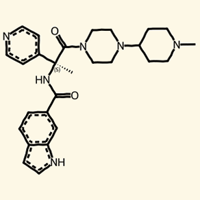 CN1CCC(N2CCN(C(=O)[C@@](C)(NC(=O)c3ccc4cc[nH]c4c3)c3ccncc3)CC2)CC1